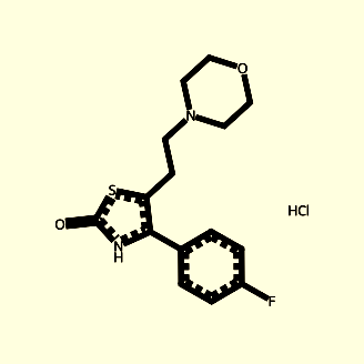 Cl.O=c1[nH]c(-c2ccc(F)cc2)c(CCN2CCOCC2)s1